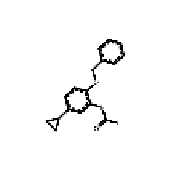 CC(=O)Nc1cc(C2CC2)ccc1OCc1ccccc1